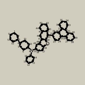 c1ccc(-c2ccc(N(c3ccccc3)c3ccc4oc5c(-c6ccc7c8ccccc8c8ccccc8c7c6)c6ccccc6cc5c4c3)cc2)cc1